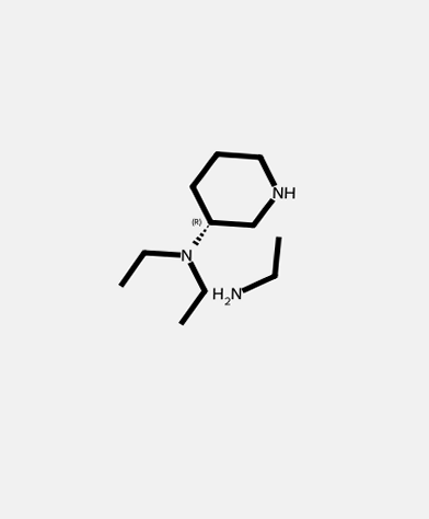 CCN.CCN(CC)[C@@H]1CCCNC1